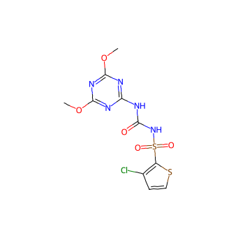 COc1nc(NC(=O)NS(=O)(=O)c2sccc2Cl)nc(OC)n1